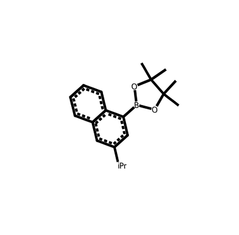 CC(C)c1cc(B2OC(C)(C)C(C)(C)O2)c2ccccc2c1